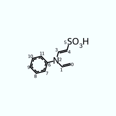 C=CN(C=CS(=O)(=O)O)c1ccccc1